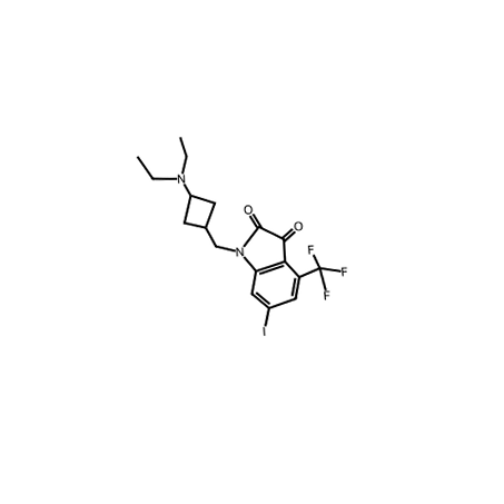 CCN(CC)C1CC(CN2C(=O)C(=O)c3c2cc(I)cc3C(F)(F)F)C1